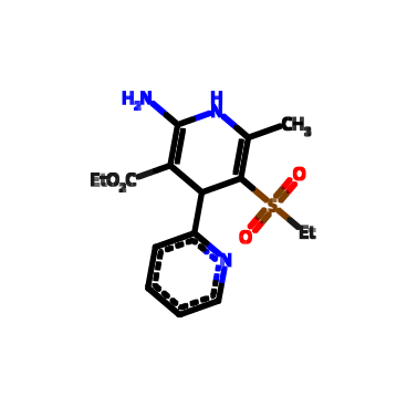 CCOC(=O)C1=C(N)NC(C)=C(S(=O)(=O)CC)C1c1ccccn1